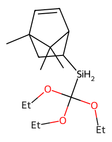 CCOC(OCC)(OCC)[SiH2]C1CC2(C)C=CC1C2(C)C